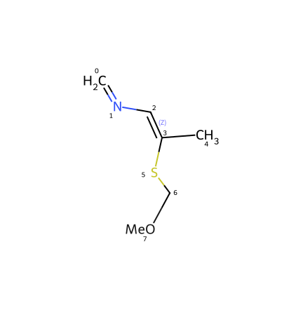 C=N/C=C(/C)SCOC